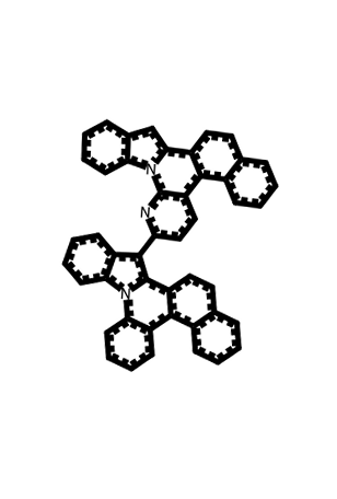 c1ccc2c(c1)ccc1c2c2ccc(-c3c4ccccc4n4c5ccccc5c5c6ccccc6ccc5c34)nc2n2c3ccccc3cc12